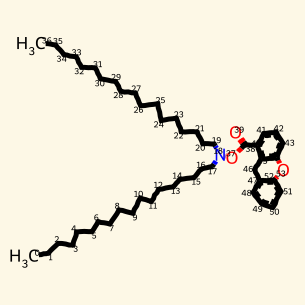 CCCCCCCCCCCCCCCCCCN(CCCCCCCCCCCCCCCCCC)OC(=O)c1cccc2c1Cc1ccccc1O2